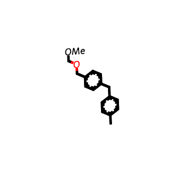 COCOCc1ccc(Cc2ccc(C)cc2)cc1